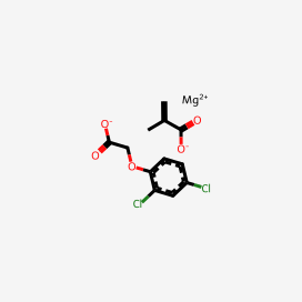 C=C(C)C(=O)[O-].O=C([O-])COc1ccc(Cl)cc1Cl.[Mg+2]